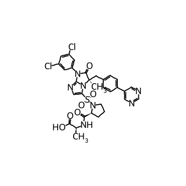 C[C@H](NC(=O)[C@@H]1CCCN1S(=O)(=O)c1cnc2n1[C@](C)(Cc1ccc(-c3cncnc3)cc1)C(=O)N2c1cc(Cl)cc(Cl)c1)C(=O)O